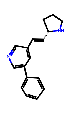 C(=C[C@@H]1CCCN1)c1cncc(-c2ccccc2)c1